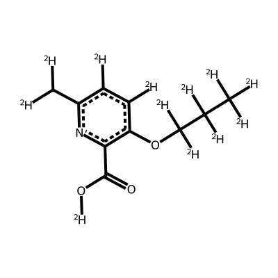 [2H]OC(=O)c1nc(C([2H])[2H])c([2H])c([2H])c1OC([2H])([2H])C([2H])([2H])C([2H])([2H])[2H]